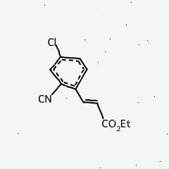 [C-]#[N+]c1cc(Cl)ccc1/C=C/C(=O)OCC